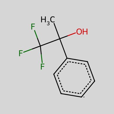 CC(O)(c1cc[c]cc1)C(F)(F)F